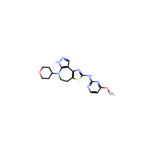 COc1ccnc(Nc2nc3c(s2)CCN(C2CCOCC2)c2[nH]ncc2-3)n1